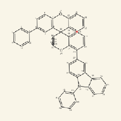 c1ccc(-c2ccc3c(c2)C2(c4ccccc4O3)c3ccccc3Oc3c(-c4ccc5c(c4)c4ccccc4n5-c4ccccc4)cccc32)cc1